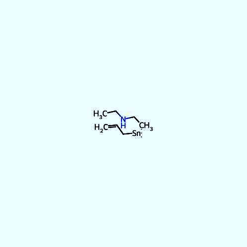 C=C[CH2][Sn].CCNCC